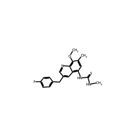 CNC(=S)Nc1cc(C)c(OC)c2ncc(Cc3ccc(F)cc3)cc12